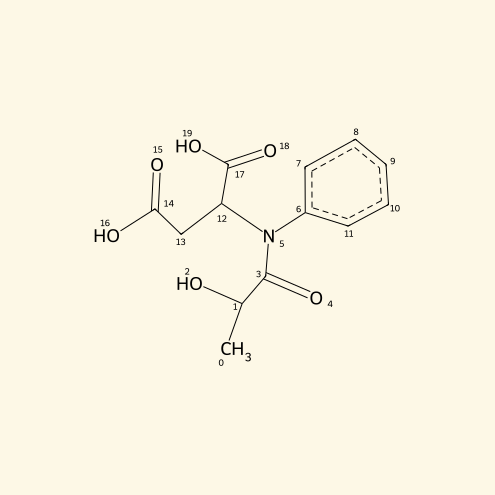 CC(O)C(=O)N(c1ccccc1)C(CC(=O)O)C(=O)O